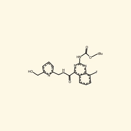 CC(C)(C)OC(=O)Nc1nc(C(=O)NCc2cccc(CO)n2)c2cccc(F)c2n1